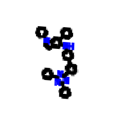 c1ccc(-c2nc(-c3ccccc3)nc(-c3cccc(-c4ccc(Nc5cc6ccn(-c7ccccc7)c6cc5-c5ccccc5)cc4)c3)n2)cc1